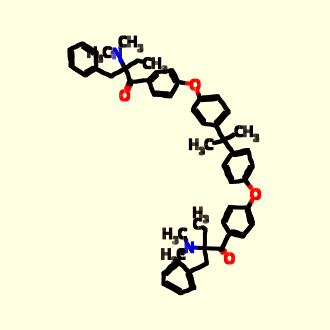 CCC(Cc1ccccc1)(C(=O)c1ccc(Oc2ccc(C(C)(C)c3ccc(Oc4ccc(C(=O)C(CC)(Cc5ccccc5)N(C)C)cc4)cc3)cc2)cc1)N(C)C